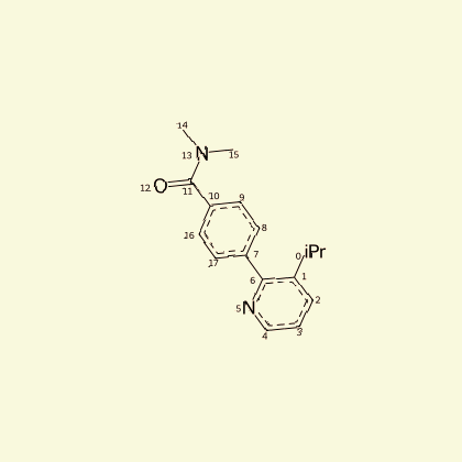 CC(C)c1cccnc1-c1ccc(C(=O)N(C)C)cc1